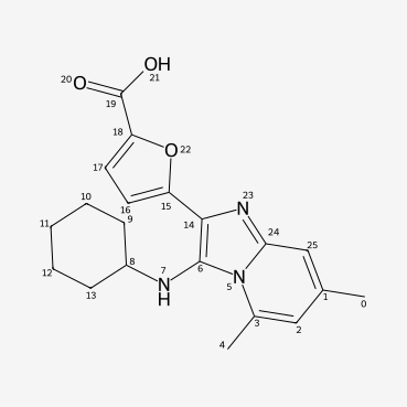 Cc1cc(C)n2c(NC3CCCCC3)c(-c3ccc(C(=O)O)o3)nc2c1